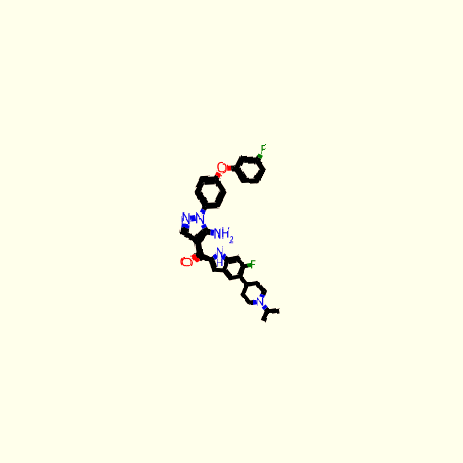 CC(C)N1CCC(c2cc3cc(C(=O)c4cnn(-c5ccc(Oc6cccc(F)c6)cc5)c4N)[nH]c3cc2F)CC1